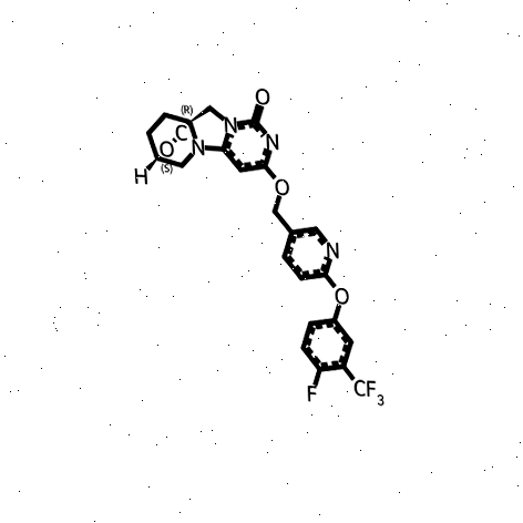 O=c1nc(OCc2ccc(Oc3ccc(F)c(C(F)(F)F)c3)nc2)cc2n1C[C@@]13CC[C@@H](CN21)OC3